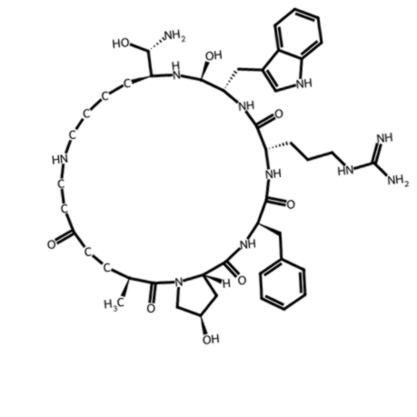 C[C@H]1CCC(=O)CCNCCCC[C@@H]([C@@H](N)O)N[C@@H](O)[C@H](Cc2c[nH]c3ccccc23)NC(=O)[C@H](CCCNC(=N)N)NC(=O)[C@@H](Cc2ccccc2)NC(=O)[C@@H]2C[C@@H](O)CN2C1=O